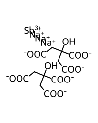 O=C([O-])CC(O)(CC(=O)[O-])C(=O)[O-].O=C([O-])CC(O)(CC(=O)[O-])C(=O)[O-].[Na+].[Na+].[Na+].[Sb+3]